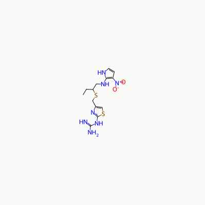 CCC(CNc1[nH]ccc1[N+](=O)[O-])SCc1csc(NC(=N)N)n1